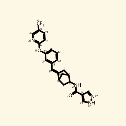 O=C(NC1CC2CC1CC2=Cc1cccc(Oc2ccc(C(F)(F)F)cn2)c1)c1cn[nH]c1